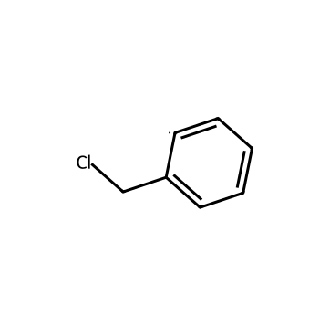 ClCc1[c]cccc1